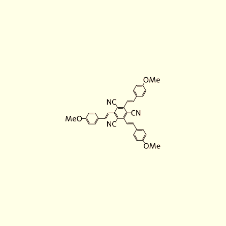 COc1ccc(C=Cc2c(C#N)c(C=Cc3ccc(OC)cc3)c(C#N)c(C=Cc3ccc(OC)cc3)c2C#N)cc1